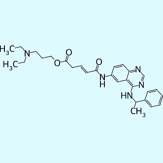 CCN(CC)CCCOC(=O)C/C=C/C(=O)Nc1ccc2ncnc(NC(C)c3ccccc3)c2c1